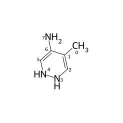 CC1=CNNC=C1N